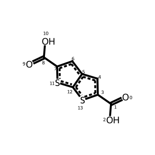 O=C(O)c1cc2cc(C(=O)O)sc2s1